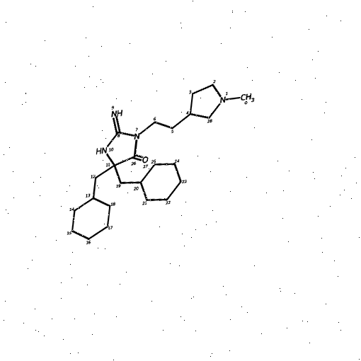 CN1CCC(CCN2C(=N)NC(CC3CCCCC3)(CC3CCCCC3)C2=O)C1